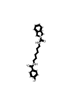 O=C(NCCCCCCNC(=O)N1Cc2ccccc2C1)c1ccc(F)cc1